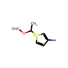 CC(OC=O)[SH]1C=CC(I)=C1